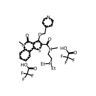 CCN(CC)CCN(C)C(=O)c1sc2c(c1OCc1ccncc1)c(=O)n(C)c1ccccc21.O=C(O)C(F)(F)F.O=C(O)C(F)(F)F